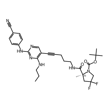 CCCNc1nc(Nc2ccc(C#N)cc2)ncc1C#CCCCNC(=O)[C@]1(C)CC(F)(F)CN1C(=O)OC(C)(C)C